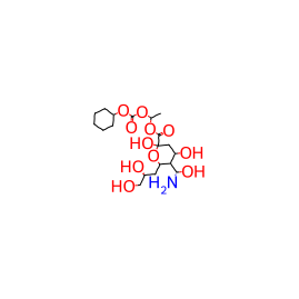 CC(OC(=O)OC1CCCCC1)OC(=O)C1(O)CC(O)C([C@@H](N)O)C(C[C@H](O)CO)O1